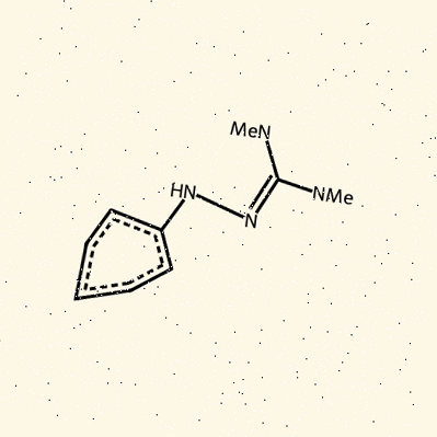 CNC(=NNc1ccccc1)NC